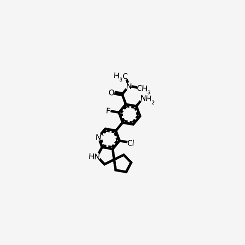 CN(C)C(=O)c1c(N)ccc(-c2cnc3c(c2Cl)C2(CCCC2)CN3)c1F